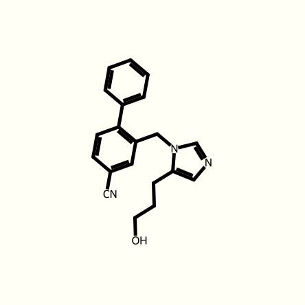 N#Cc1ccc(-c2ccccc2)c(Cn2cncc2CCCO)c1